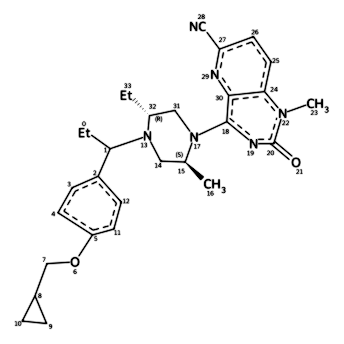 CCC(c1ccc(OCC2CC2)cc1)N1C[C@H](C)N(c2nc(=O)n(C)c3ccc(C#N)nc23)C[C@H]1CC